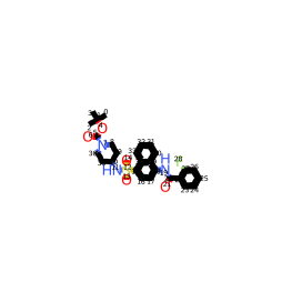 CC(C)(C)OC(=O)N1CCC(NS(=O)(=O)c2ccc(NC(=O)c3ccccc3F)c3ccccc23)CC1